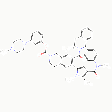 Cc1c(C(=O)N(C)c2ccccc2)cc(-c2cc3c(cc2C(=O)N2Cc4ccccc4C[C@H]2C)CN(C(=O)Oc2cccc(N4CCN(C)CC4)c2)CC3)n1C